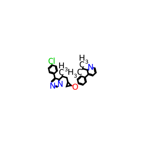 CC(C)c1ncccc1-c1ccc(OC2CC2CC(C)c2ncncc2-c2ccc(Cl)cc2)cc1